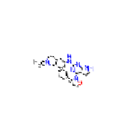 CN1CCc2cc(Nc3nc(N4OCC[C@H]4c4ccccc4)c4cc[nH]c4n3)ccc2C1